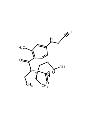 C#CCNc1ccc(C(=O)N(CC)[C@](CC)(CCC(=O)O)C(=O)O)c(C)c1